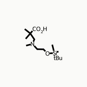 CN(CCO[Si](C)(C)C(C)(C)C)CC(C)(C)C(=O)O